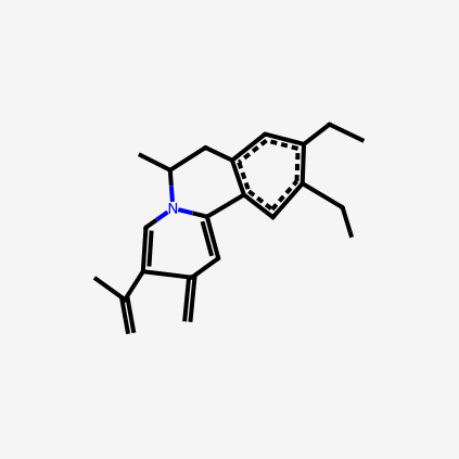 C=C(C)C1=CN2C(=CC1=C)c1cc(CC)c(CC)cc1CC2C